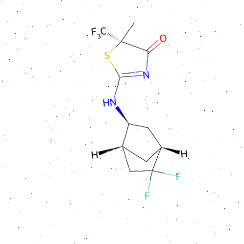 C[C@]1(C(F)(F)F)SC(N[C@H]2C[C@H]3C[C@@H]2CC3(F)F)=NC1=O